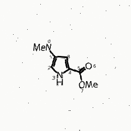 CNc1c[nH]c(C(=O)OC)c1